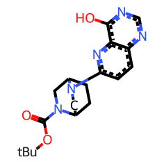 CC(C)(C)OC(=O)N1CC2CCC1CN2c1ccc2ncnc(O)c2n1